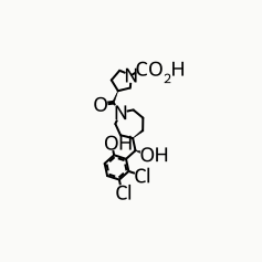 O=C(O)N1CC[C@H](C(=O)N2CCC[C@@H]([C@@H](O)c3c(O)ccc(Cl)c3Cl)CC2)C1